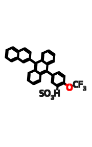 O=S(=O)(O)c1cc(-c2c3ccccc3c(-c3ccc4ccccc4c3)c3ccccc23)ccc1OC(F)(F)F